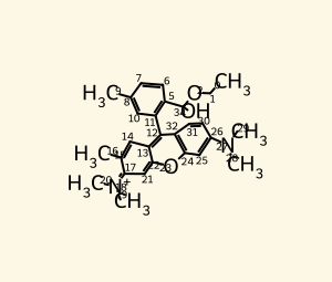 CCOC(O)c1ccc(C)cc1-c1c2cc(C)c(=[N+](C)C)cc-2oc2cc(N(C)C)ccc12